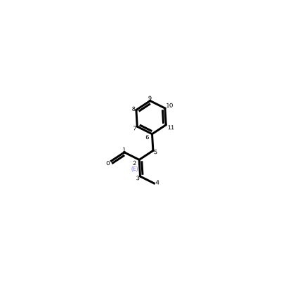 C=C/C(=C/C)Cc1ccccc1